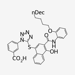 CCCCCCCCCCCCCCOc1ccccc1NC(=O)c1cc(Sc2nnnn2-c2cccc(C(=O)O)c2)c2ccccc2c1O